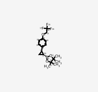 CC1(C)OB([C@H]2CC2c2ccc(OCC(F)(F)F)cc2)OC1(C)C